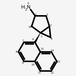 NC1CC2C[C@]2(c2cccc3ccccc23)C1